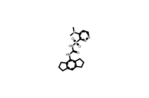 CN(C)c1ccnnc1S(=O)(=O)NC(=O)Nc1c2c(cc3c1CCC3)CCC2